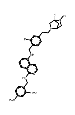 COc1ccc(CNc2nccc3c(NCc4ccc(CCN5C[C@@H]6CC5CN6C(C)C)cc4F)cccc23)c(OC)c1